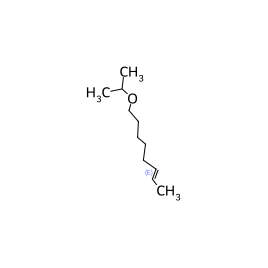 C/C=C/CCCCCOC(C)C